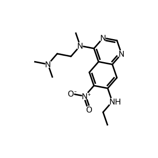 CCNc1cc2ncnc(N(C)CCN(C)C)c2cc1[N+](=O)[O-]